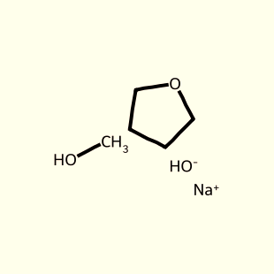 C1CCOC1.CO.[Na+].[OH-]